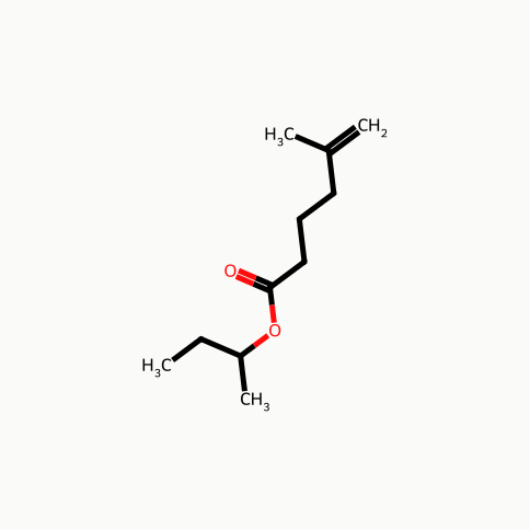 C=C(C)CCCC(=O)OC(C)CC